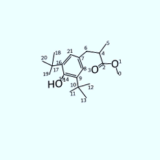 COC(=O)C(C)Cc1cc(C(C)(C)C)c(O)c(C(C)(C)C)c1